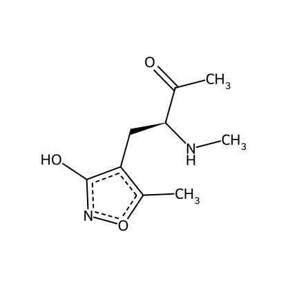 CN[C@@H](Cc1c(O)noc1C)C(C)=O